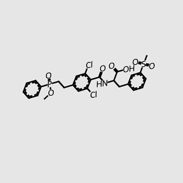 COP(=O)(CCc1cc(Cl)c(C(=O)NC(Cc2cccc(S(C)(=O)=O)c2)C(=O)O)c(Cl)c1)c1ccccc1